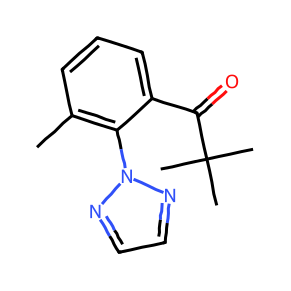 Cc1cccc(C(=O)C(C)(C)C)c1-n1nccn1